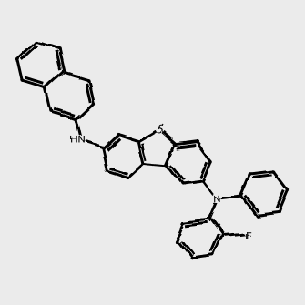 Fc1ccccc1N(c1ccccc1)c1ccc2sc3cc(Nc4ccc5ccccc5c4)ccc3c2c1